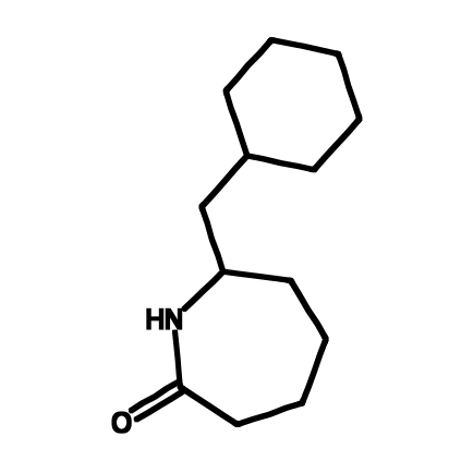 O=C1CCCCC(CC2CCCCC2)N1